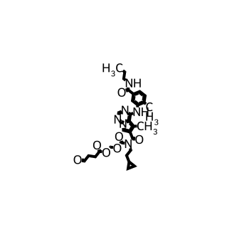 CCCNC(=O)c1ccc(C)c(Nc2ncnn3cc(C(=O)N(CCC4CC4)C(=O)OCOC(=O)CCC=O)c(C)c23)c1